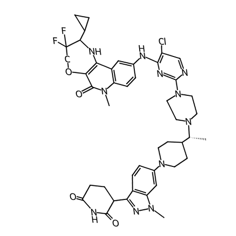 C[C@H](C1CCN(c2ccc3c(C4CCC(=O)NC4=O)nn(C)c3c2)CC1)N1CCN(c2ncc(Cl)c(Nc3ccc4c(c3)c3c(c(=O)n4C)OCC(F)(F)C(C4CC4)N3)n2)CC1